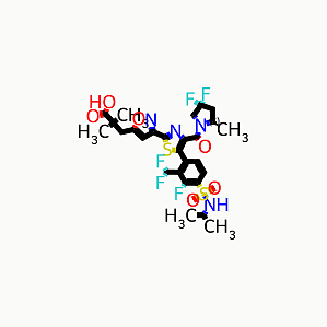 CC(C)NS(=O)(=O)c1ccc(-c2sc(-c3cc(CC(C)(C)C(=O)O)on3)nc2C(=O)N2CC(F)(F)C[C@@H]2C)c(C(F)F)c1F